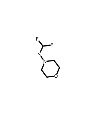 FC(F)SN1CCOCC1